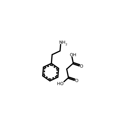 NCCc1ccccc1.O=C(O)CC(=O)O